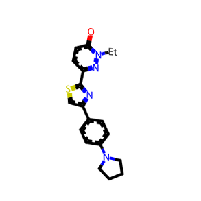 CCn1nc(-c2nc(-c3ccc(N4CCCC4)cc3)cs2)ccc1=O